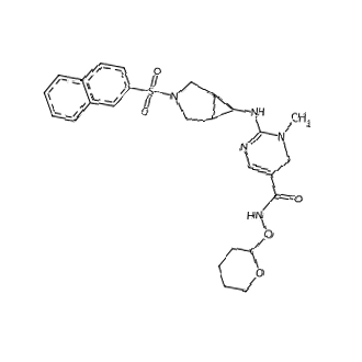 CN1CC(C(=O)NOC2CCCCO2)=CN=C1NC1C2CN(S(=O)(=O)c3ccc4ccccc4c3)CC21